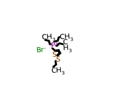 CCCCSc1ccc(C[P+](CCCC)(CCCC)CCCC)s1.[Br-]